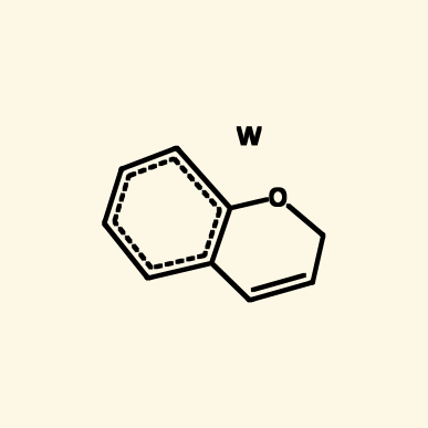 C1=Cc2ccccc2OC1.[W]